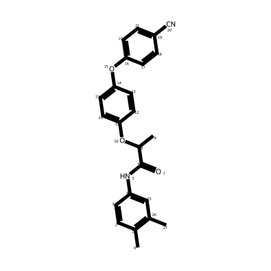 Cc1ccc(NC(=O)C(C)Oc2ccc(Oc3ccc(C#N)cc3)cc2)cc1C